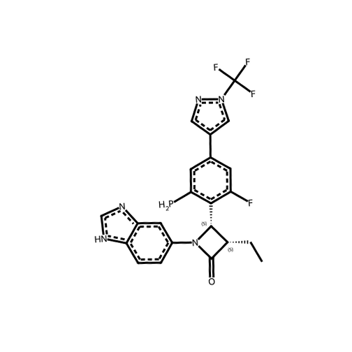 CC[C@@H]1C(=O)N(c2ccc3[nH]cnc3c2)[C@@H]1c1c(F)cc(-c2cnn(C(F)(F)F)c2)cc1P